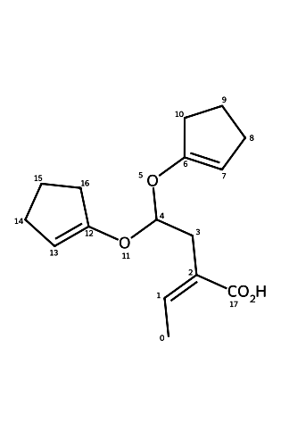 CC=C(CC(OC1=CCCC1)OC1=CCCC1)C(=O)O